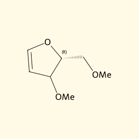 COC[C@H]1OC=CC1OC